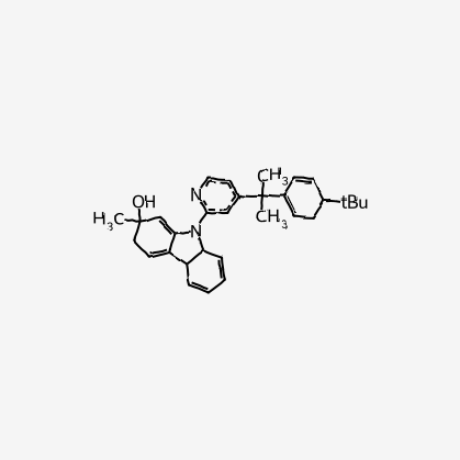 CC1(O)C=C2C(=CC1)C1C=CC=CC1N2c1cc(C(C)(C)C2=CCC(C(C)(C)C)C=C2)ccn1